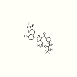 COc1ccc(-c2nc(C(=O)N3CC[C@@H](NC(=O)NC(C)(C)C)C3)c(CN)o2)c2ccc(C(F)(F)F)nc12